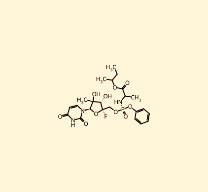 CCC(C)OC(=O)C(C)N[P@](=O)(OC[C@@]1(F)O[C@@H](n2ccc(=O)[nH]c2=O)[C@](C)(O)[C@@H]1O)Oc1ccccc1